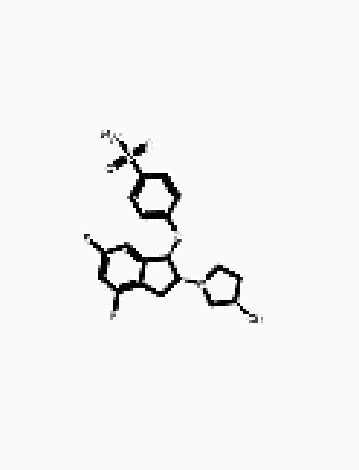 CS(=O)(=O)c1ccc(O[C@@H]2c3cc(F)cc(F)c3C[C@@H]2N2CC[C@@H](O)C2)cc1